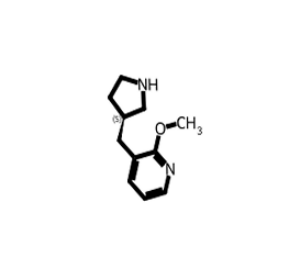 COc1ncccc1C[C@H]1CCNC1